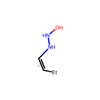 CC/C=C\NNO